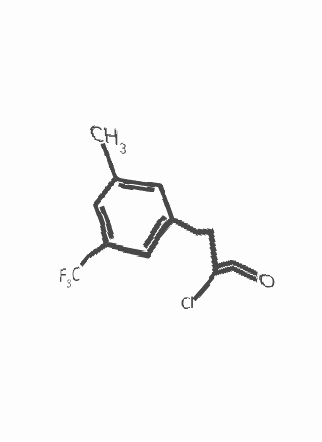 Cc1cc(CC(=O)Cl)cc(C(F)(F)F)c1